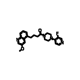 COc1cnc2cccc(CCCC(=O)N3CCN(c4ccncc4F)CC3)c2c1